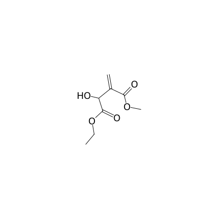 C=C(C(=O)OC)C(O)C(=O)OCC